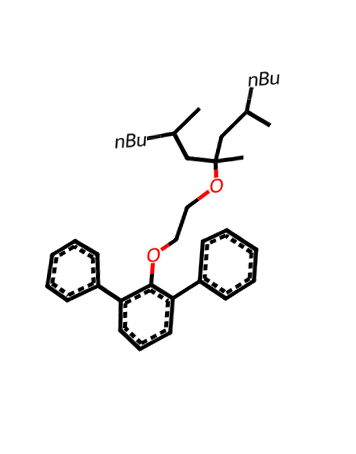 CCCCC(C)CC(C)(CC(C)CCCC)OCCOc1c(-c2ccccc2)cccc1-c1ccccc1